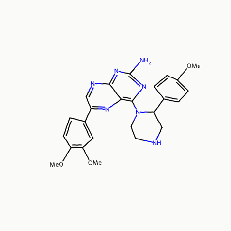 COc1ccc(C2CNCCN2c2nc(N)nc3ncc(-c4ccc(OC)c(OC)c4)nc23)cc1